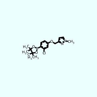 Cn1ccc(COc2ccc(B3OC(C)(C)C(C)(C)O3)c(Cl)c2)n1